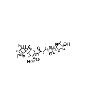 CC1CC(NC(=O)CCc2nc(-c3ccc(O)cn3)no2)=C(C(=O)O)CC1c1cc(F)cc(F)c1F